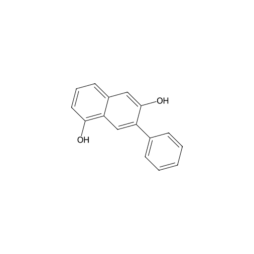 Oc1cc2cccc(O)c2cc1-c1ccccc1